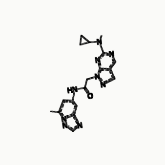 Cc1cc(NC(=O)Cn2ncc3cnc(N(C)C4CC4)nc32)cc2ncnn12